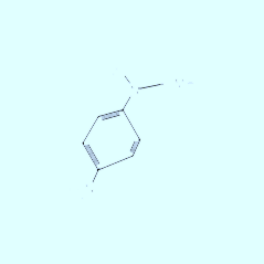 CON(C)c1ccc([N+](=O)[O-])cc1